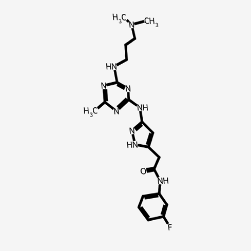 Cc1nc(NCCCN(C)C)nc(Nc2cc(CC(=O)Nc3cccc(F)c3)[nH]n2)n1